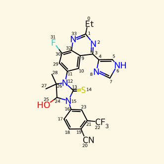 CCc1nc(-c2c[nH]cn2)c2cc(N3C(=S)N(c4ccc(C#N)c(C(F)(F)F)c4)C(O)C3(C)C)cc(F)c2n1